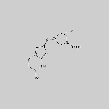 CC(=O)C1CCc2cn(O[C@@H]3C[C@H](C)N(C(=O)O)C3)cc2N1